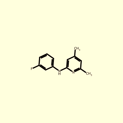 Cc1cc(C)nc(Nc2cccc(F)c2)c1